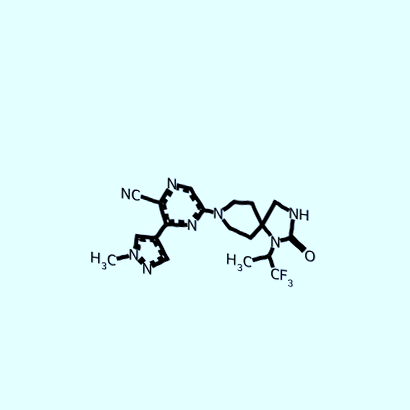 CC(N1C(=O)NCC12CCN(c1cnc(C#N)c(-c3cnn(C)c3)n1)CC2)C(F)(F)F